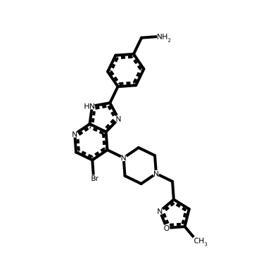 Cc1cc(CN2CCN(c3c(Br)cnc4[nH]c(-c5ccc(CN)cc5)nc34)CC2)no1